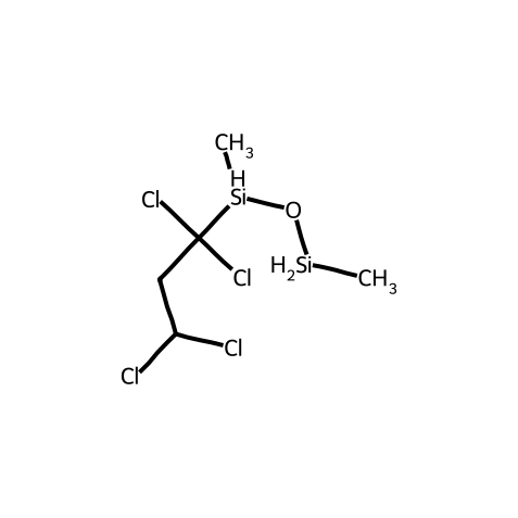 C[SiH2]O[SiH](C)C(Cl)(Cl)CC(Cl)Cl